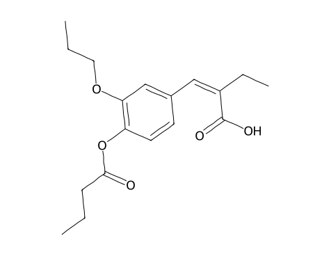 CCCOc1cc(C=C(CC)C(=O)O)ccc1OC(=O)CCC